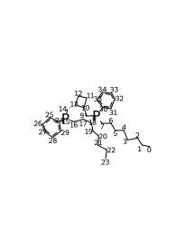 CCCCCCCCP(C[C@@H]1CC[C@H]1CP(CCCCCCCC)c1ccccc1)c1ccccc1